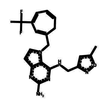 Cc1cc(CNc2nc(N)nc3ccn(CC4=CC(C(C)(F)F)=CC=CC4)c23)no1